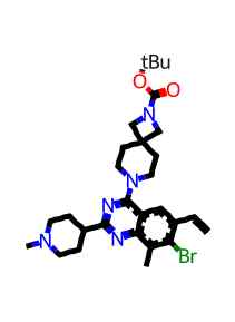 C=Cc1cc2c(N3CCC4(CC3)CN(C(=O)OC(C)(C)C)C4)nc(C3CCN(C)CC3)nc2c(C)c1Br